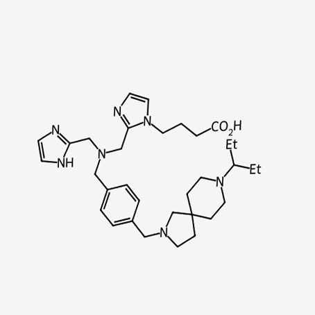 CCC(CC)N1CCC2(CCN(Cc3ccc(CN(Cc4ncc[nH]4)Cc4nccn4CCCC(=O)O)cc3)C2)CC1